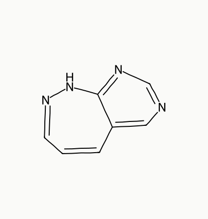 C1=Cc2cncnc2NN=C1